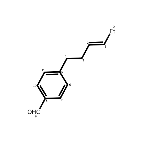 CC/C=C/CCc1ccc(C=O)cc1